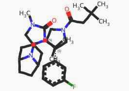 CC(C)N1C(=O)N(C)CC12CC1CCC(C2)N1C[C@H]1CN(C(=O)CC(C)(C)C)C[C@@H]1c1cccc(F)c1